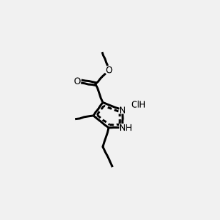 CCc1[nH]nc(C(=O)OC)c1C.Cl